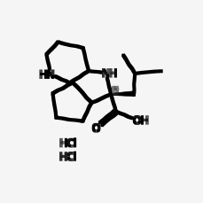 CC(C)C[C@@](NC1CCCNC1)(C(=O)O)C1CCCC1.Cl.Cl